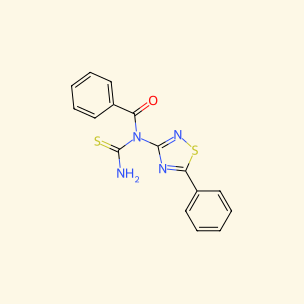 NC(=S)N(C(=O)c1ccccc1)c1nsc(-c2ccccc2)n1